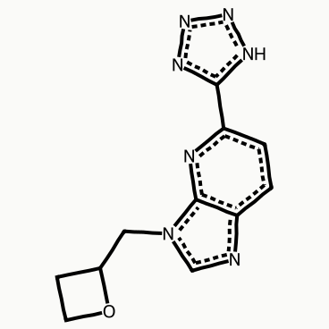 c1cc2ncn(CC3CCO3)c2nc1-c1nnn[nH]1